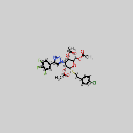 CC(=O)OC[C@H]1O[C@H](SCCc2ccc(Cl)cc2)[C@H](OC(C)=O)[C@@H](n2cc(-c3cc(F)c(F)c(F)c3)nn2)[C@H]1OC(C)=O